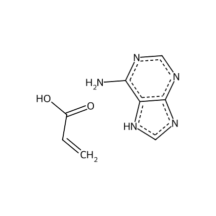 C=CC(=O)O.Nc1ncnc2nc[nH]c12